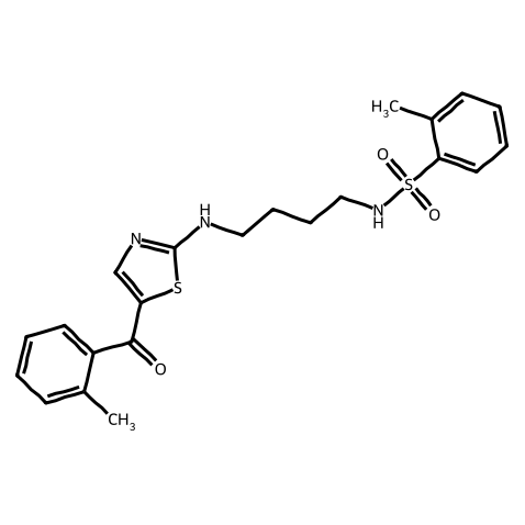 Cc1ccccc1C(=O)c1cnc(NCCCCNS(=O)(=O)c2ccccc2C)s1